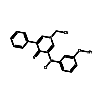 CCCOc1cccc([S+]([O-])c2cn(CC#N)cc(-c3ccccc3)c2=S)c1